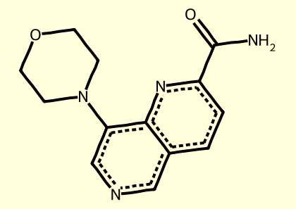 NC(=O)c1ccc2cncc(N3CCOCC3)c2n1